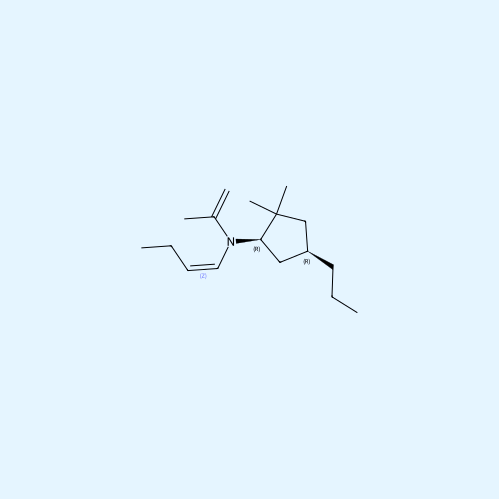 C=C(C)N(/C=C\CC)[C@@H]1C[C@H](CCC)CC1(C)C